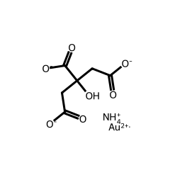 O=C([O-])CC(O)(CC(=O)[O-])C(=O)[O-].[Au+2].[NH4+]